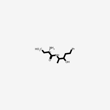 CC(C)CCC(O)C(C)NC(=O)[C@@H](N)CC(=O)O